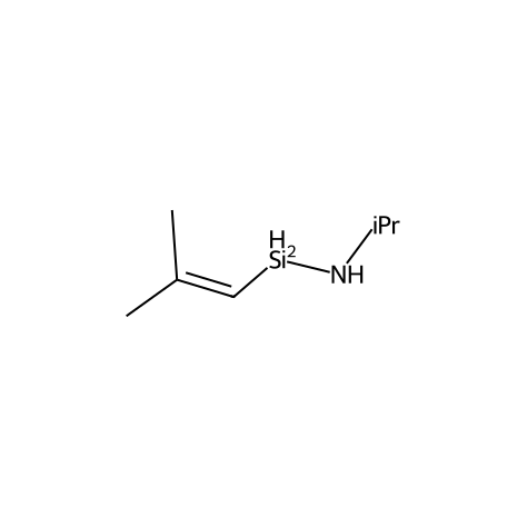 CC(C)=C[SiH2]NC(C)C